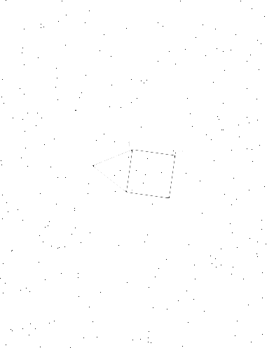 C1CC2C[C]12